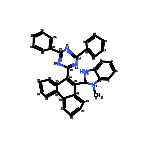 CN1c2ccccc2NC1c1c(-c2nc(-c3ccccc3)nc(-c3ccccc3)n2)c2ccccc2c2ccccc12